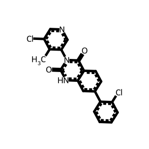 Cc1c(Cl)cncc1-n1c(=O)[nH]c2cc(-c3ccccc3Cl)ccc2c1=O